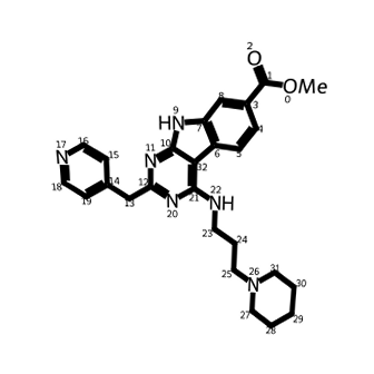 COC(=O)c1ccc2c(c1)[nH]c1nc(Cc3ccncc3)nc(NCCCN3CCCCC3)c12